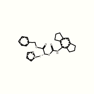 O=C(Nc1c2c(cc3c1CCC3)CCC2)O[C@H](Cn1cccn1)C(=O)OCc1ccccc1